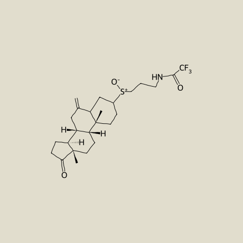 C=C1C[C@@H]2[C@@H](CC[C@]3(C)C(=O)CC[C@@H]23)[C@@]2(C)CCC([S+]([O-])CCCNC(=O)C(F)(F)F)CC12